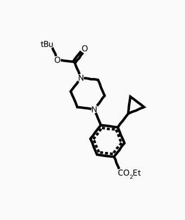 CCOC(=O)c1ccc(N2CCN(C(=O)OC(C)(C)C)CC2)c(C2CC2)c1